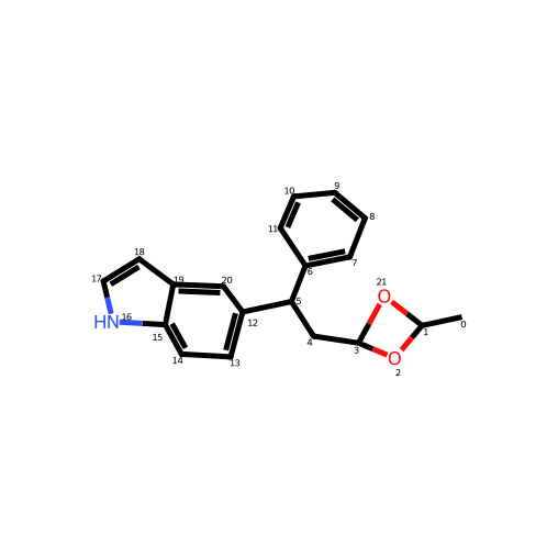 CC1OC(CC(c2ccccc2)c2ccc3[nH]ccc3c2)O1